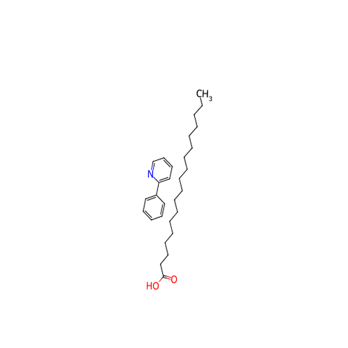 CCCCCCCCCCCCCCCCCC(=O)O.c1ccc(-c2ccccn2)cc1